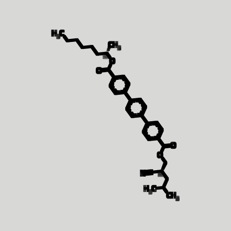 CCCCCC[C@H](C)OC(=O)c1ccc(-c2ccc(-c3ccc(C(=O)OC[C@H](C#N)CC(C)C)cc3)cc2)cc1